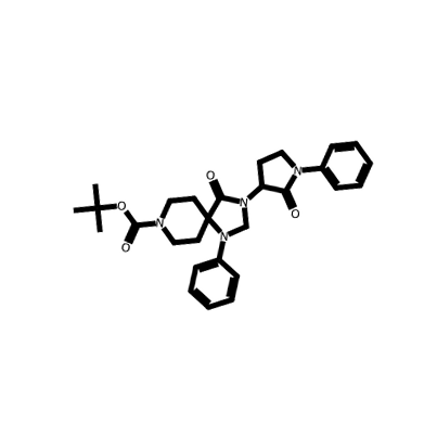 CC(C)(C)OC(=O)N1CCC2(CC1)C(=O)N(C1CCN(c3ccccc3)C1=O)CN2c1ccccc1